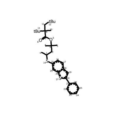 CC(CC(C)(C)OC(=O)C(C)(CC(C)(C)C)C(C)(C)C)Sc1ccc2cc(-c3ccccc3)sc2c1